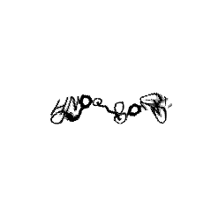 O=C(CCCOc1ccc2[nH]c(=O)ccc2c1)Oc1ccc([N+](=O)[O-])cc1